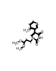 COC(CCn1cc(-c2cnccc2C)c(=O)[nH]c1=O)OC